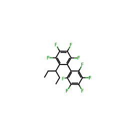 CCC(CC)c1c(F)c(F)c(F)c(F)c1-c1c(F)c(F)c(F)c(F)c1F